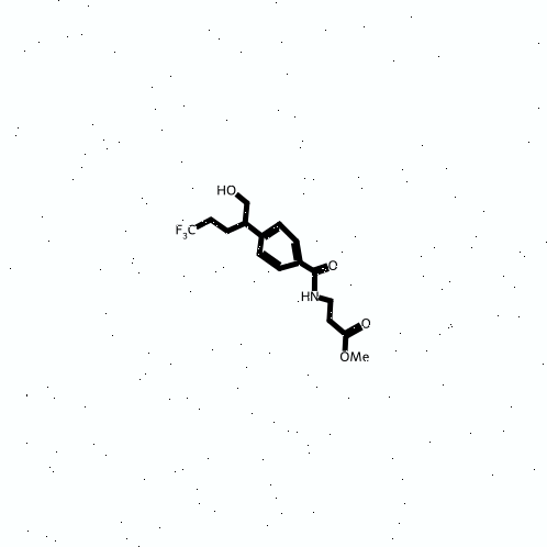 COC(=O)CCNC(=O)c1ccc(C(CO)CCC(F)(F)F)cc1